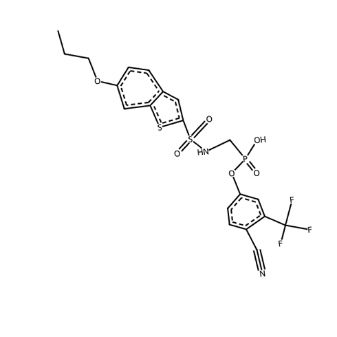 CCCOc1ccc2cc(S(=O)(=O)NCP(=O)(O)Oc3ccc(C#N)c(C(F)(F)F)c3)sc2c1